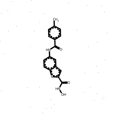 Cc1ccc(C(=O)Nc2ccc3sc(C(=O)NO)cc3c2)cc1